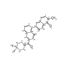 Cn1ccc2cc(-c3cccc4cc(C(=O)N5CCC(F)(F)CC5)cnc34)ncc2c1=O